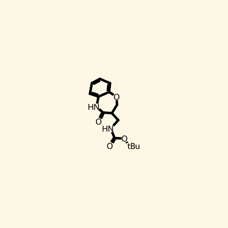 CC(C)(C)OC(=O)NCC1COc2ccccc2NC1=O